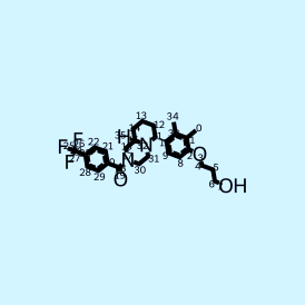 Cc1c(OCCCO)ccc([C@H]2CCC[C@H]3CN(C(=O)c4ccc(C(F)(F)F)cc4)CCN32)c1C